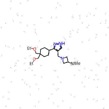 CCOCC1(COCC)CCC(c2n[nH]cc2CN2CC(NC)C2)CC1